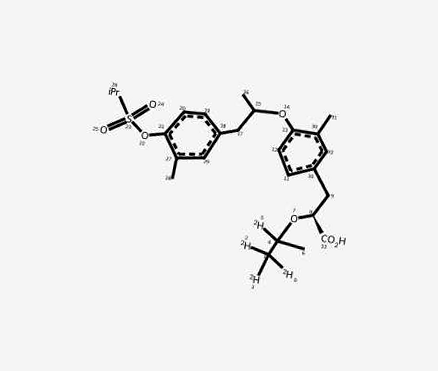 [2H]C([2H])([2H])C([2H])(C)O[C@@H](Cc1ccc(OC(C)Cc2ccc(OS(=O)(=O)C(C)C)c(C)c2)c(C)c1)C(=O)O